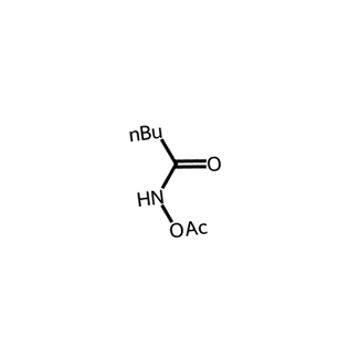 CCCCC(=O)NOC(C)=O